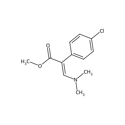 COC(=O)/C(=C/N(C)C)c1ccc(Cl)cc1